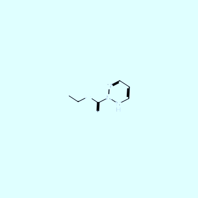 CCOC(=O)N1N=CC=CN1